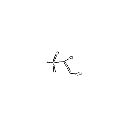 CC(C)(C)C=C(Cl)S(C)(=O)=O